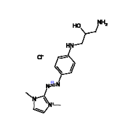 Cn1cc[n+](C)c1/N=N/c1ccc(NCC(O)CN)cc1.[Cl-]